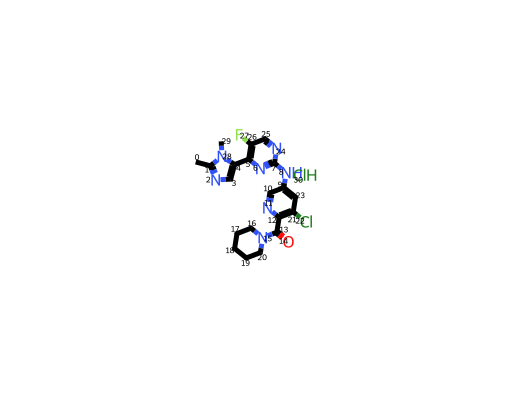 Cc1ncc(-c2nc(Nc3cnc(C(=O)N4CCCCC4)c(Cl)c3)ncc2F)n1C.Cl